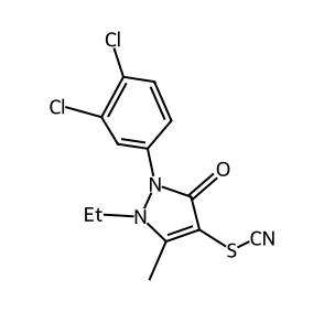 CCn1c(C)c(SC#N)c(=O)n1-c1ccc(Cl)c(Cl)c1